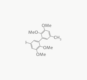 COc1cc(C)cc(-c2cc(I)cc(OC)c2OC)c1OC